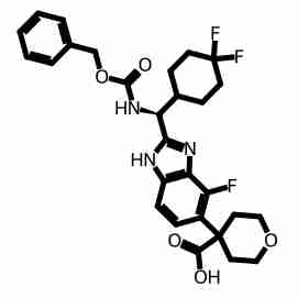 O=C(N[C@H](c1nc2c(F)c(C3(C(=O)O)CCOCC3)ccc2[nH]1)C1CCC(F)(F)CC1)OCc1ccccc1